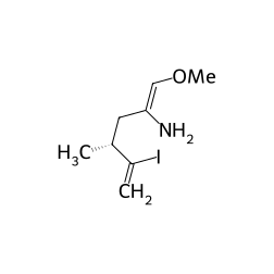 C=C(I)[C@H](C)C/C(N)=C/OC